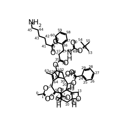 CC(=O)O[C@H]1C(=O)[C@]23C[C@H]2C[C@H]2OC[C@@]2(OC(C)=O)[C@H]3[C@H](OC(=O)c2ccccc2)[C@]2(O)C[C@H](OC(=O)[C@H](OC(=O)CCCCCN)[C@@H](NC(=O)OC(C)(C)C)c3ccccc3)C(C)=C1C2(C)C